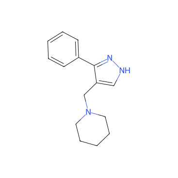 c1ccc(-c2n[nH]cc2CN2CCCCC2)cc1